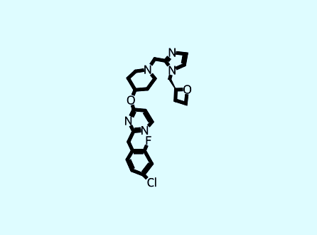 Fc1cc(Cl)ccc1Cc1nccc(OC2CCN(Cc3nccn3C[C@@H]3CCO3)CC2)n1